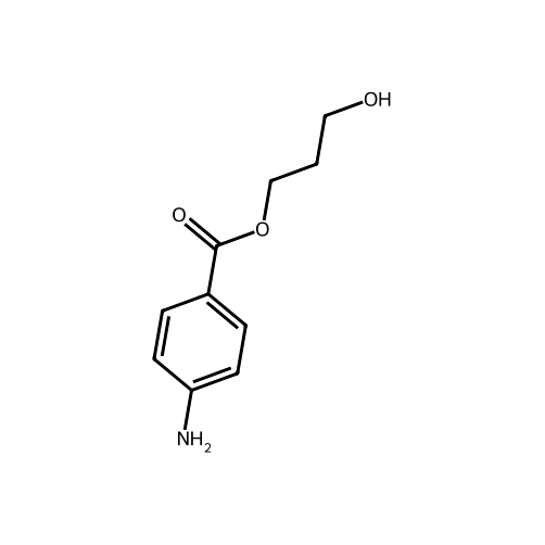 Nc1ccc(C(=O)OCCCO)cc1